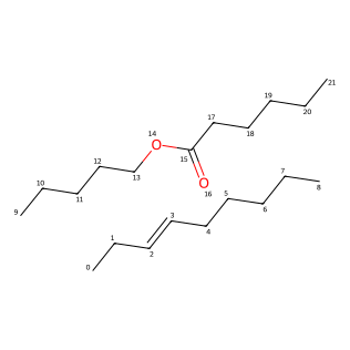 CCC=CCCCCC.CCCCCOC(=O)CCCCC